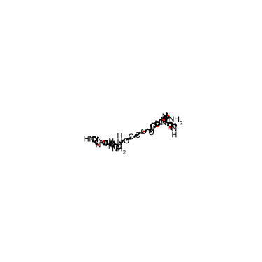 Nc1nc(N2CCN(c3ncc4c(n3)CCNC4)CC2)ncc1C(=O)NCCOCCOCCOCCOCCC(=O)N1CCc2cc(Cn3nc(-c4cnc5[nH]ccc5c4)c4c(N)ncnc43)ccc2C1